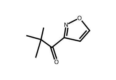 CC(C)(C)C(=O)c1ccon1